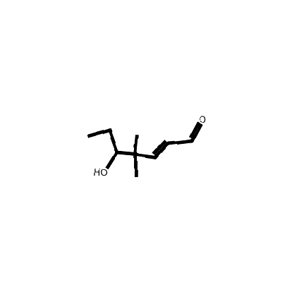 CCC(O)C(C)(C)C=CC=O